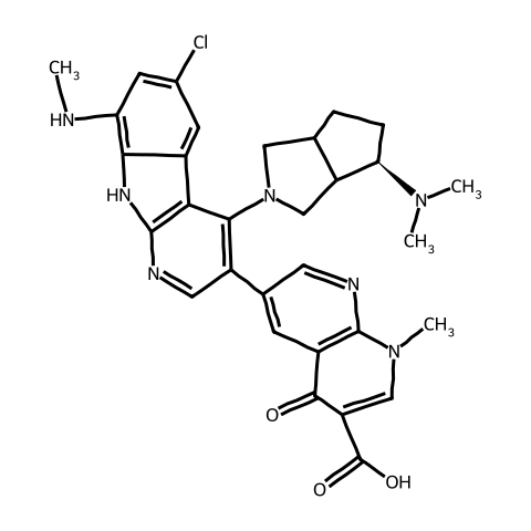 CNc1cc(Cl)cc2c1[nH]c1ncc(-c3cnc4c(c3)c(=O)c(C(=O)O)cn4C)c(N3CC4CC[C@@H](N(C)C)C4C3)c12